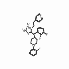 Fc1ccccc1N1CCC(C(C2=NNNN2CCc2ccccc2)c2cccc(F)c2F)CC1